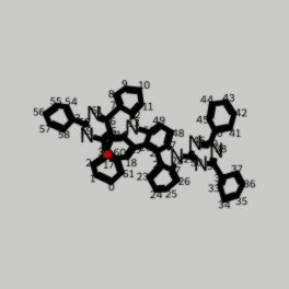 c1ccc(-c2cc(-c3ccccc3-n3c4ccccc4c4c5c6ccccc6n(-c6nc(-c7ccccc7)nc(-c7ccccc7)n6)c5ccc43)nc(-c3ccccc3)n2)cc1